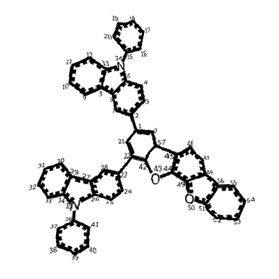 C1=C(c2ccc3c(c2)c2ccccc2n3-c2ccccc2)C=C(c2ccc3c(c2)c2ccccc2n3-c2ccccc2)C2Oc3c(ccc4c3oc3ccccc34)C12